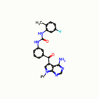 Cc1ccc(F)cc1NC(=O)Nc1cccc(C(=O)c2cn(C(C)C)c3ncnc(N)c23)c1